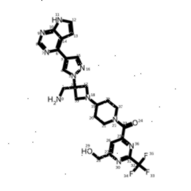 NCC1(n2cc(-c3ncnc4[nH]ccc34)cn2)CN(C2CCN(C(=O)c3cc(CO)nc(C(F)(F)F)n3)CC2)C1